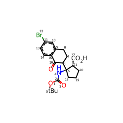 CC(C)(C)OC(=O)N[C@]1(C2CCc3cc(Br)ccc3C2=O)CCC[C@@H]1C(=O)O